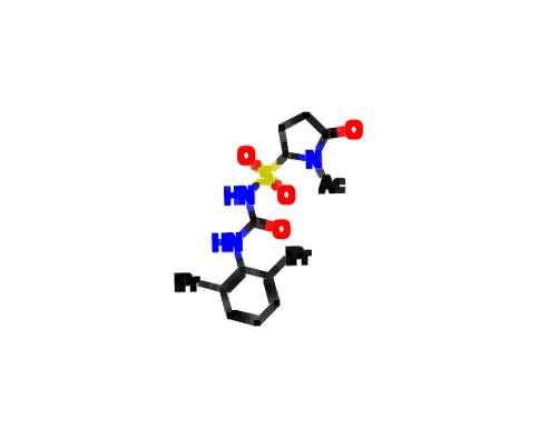 CC(=O)N1C(=O)CCC1S(=O)(=O)NC(=O)Nc1c(C(C)C)cccc1C(C)C